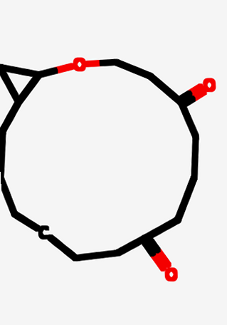 O=C1CCCCCCC2CC2OCCC(=O)CCC1